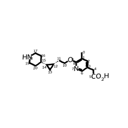 Cc1cc(CC(=O)O)cnc1OCC[C@@H]1C[C@@H]1C1CCNCC1